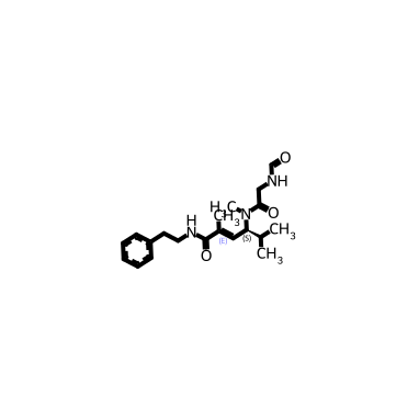 C/C(=C\[C@H](C(C)C)N(C)C(=O)CNC=O)C(=O)NCCc1ccccc1